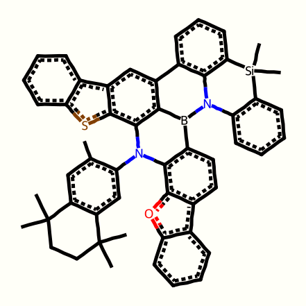 Cc1cc2c(cc1N1c3c(ccc4c3oc3ccccc34)B3c4c(cc5c(sc6ccccc65)c41)-c1cccc4c1N3c1ccccc1[Si]4(C)C)C(C)(C)CCC2(C)C